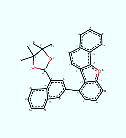 CC1(C)OB(c2cc(-c3cccc4oc5c6ccccc6ccc5c34)cc3ccccc23)OC1(C)C